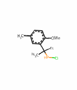 CCC(C)(PCl)c1cc(C)ccc1OC